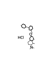 CC1c2ccc(OCc3cccc(-c4ccccc4)c3)cc2CCC1N(C)C.Cl